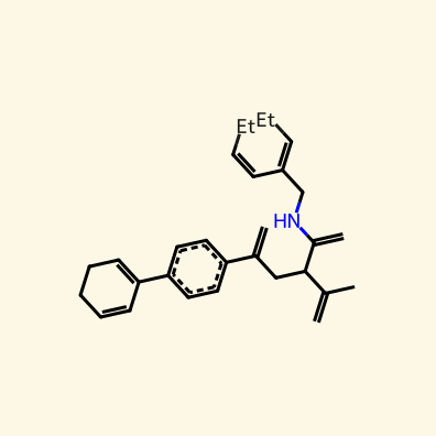 C=C(CC(C(=C)C)C(=C)NCC(/C=C\CC)=C/CC)c1ccc(C2=CCCC=C2)cc1